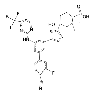 CC1(C)CC(O)(c2ncc(-c3cc(Nc4nccc(C(F)(F)F)n4)cc(-c4ccc(C#N)c(F)c4)c3)s2)CCC1C(=O)O